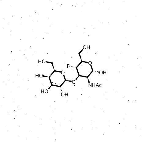 CC(=O)N[C@H]1[C@@H](O[C@@H]2O[C@H](CO)[C@H](O)[C@H](O)[C@H]2O)[C@H](F)[C@@H](CO)O[C@@H]1O